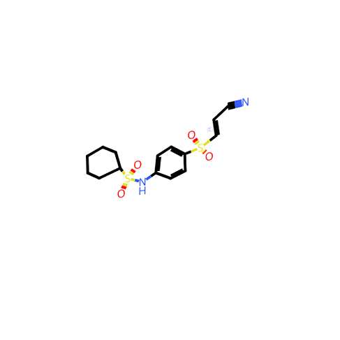 N#C/C=C/S(=O)(=O)c1ccc(NS(=O)(=O)C2CCCCC2)cc1